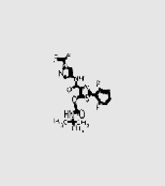 CC(C)(C)NC(=O)Oc1sc(-c2c(F)cccc2F)nc1C(=O)Nc1cnn(C(F)F)c1